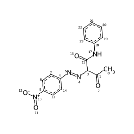 CC(=O)C(N=Nc1ccc([N+](=O)[O-])cc1)C(=O)Nc1ccccc1